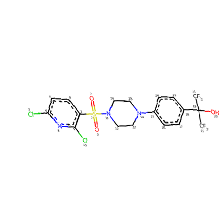 O=S(=O)(c1ccc(Cl)nc1Cl)N1CCN(c2ccc(C(O)(C(F)(F)F)C(F)(F)F)cc2)CC1